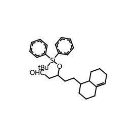 CC(C)(C)[Si](OC(CC=O)CCC1CCCC2=CCCCC21)(c1ccccc1)c1ccccc1